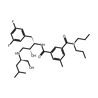 CCCN(CCC)C(=O)c1cc(C)cc(C(=O)N[C@@H](Cc2cc(F)cc(F)c2)[C@H](O)CN[C@@H](CO)CC(C)C)c1